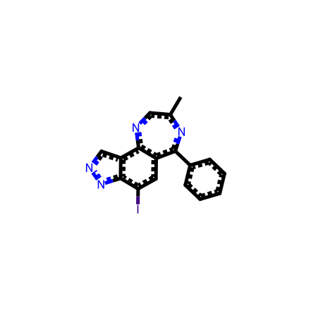 Cc1cnc2c(cc(I)c3nncc32)c(-c2ccccc2)n1